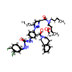 CCCCN(CCCC)C(=O)c1cc(C)n(-c2ccc(NC(=O)Nc3ccc(F)c(F)c3)cc2C(=O)N2Cc3ccccc3C[C@H]2CO)n1